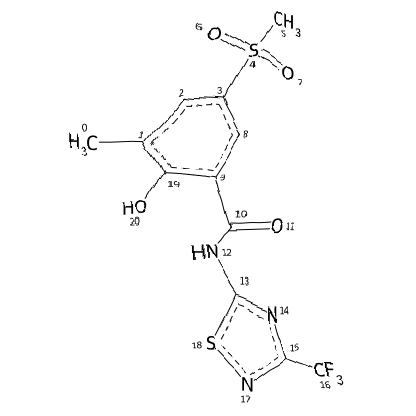 Cc1cc(S(C)(=O)=O)cc(C(=O)Nc2nc(C(F)(F)F)ns2)c1O